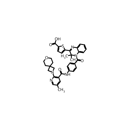 Cc1cnc(N2CC3(CCOCC3)C2)c(C(=O)Nc2ccc(C(=O)N3c4ccccc4N=C(c4ccc(C(=O)O)s4)C3(C)C)cc2)c1